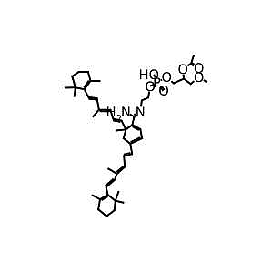 COCC(COP(=O)(O)OCC/N=C(\N)C1=CC=C(/C=C/C=C(C)/C=C/C2=C(C)CCCC2(C)C)CC1(C)/C=C/C=C(C)/C=C/C1=C(C)CCCC1(C)C)OC(C)=O